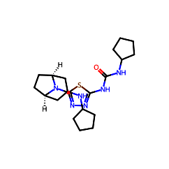 O=C(Nc1nnc(N2[C@@H]3CC[C@H]2CC(NC2CCCC2)C3)s1)NC1CCCC1